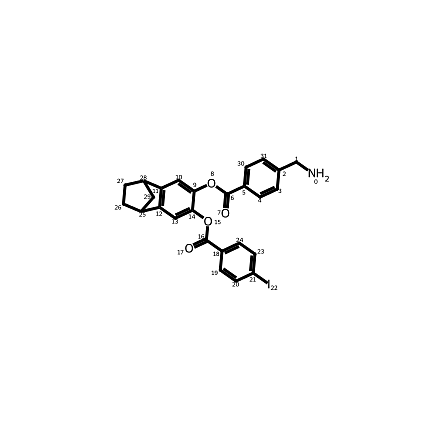 NCc1ccc(C(=O)Oc2cc3c(cc2OC(=O)c2ccc(I)cc2)C2CCC3C2)cc1